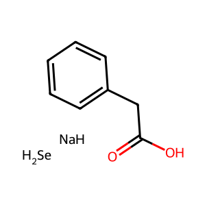 O=C(O)Cc1ccccc1.[NaH].[SeH2]